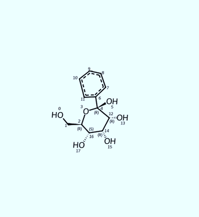 OC[C@H]1O[C@](O)(c2cc[c]cc2)[C@H](O)[C@H](O)[C@@H]1O